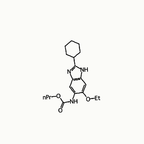 CCCOC(=O)Nc1cc2nc(C3CCCCC3)[nH]c2cc1OCC